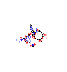 CO[C@H]1/C=C/C[C@@]2(C)Oc3c(C)c(O)c4c(=O)c(c5sc6cc(N7CCN(CC(C)C)CC7)cc(OCc7ccc(NC(=O)[C@H](CCCNC(N)=O)NC(=O)[C@@H](NC(=O)CCCCCN8C(=O)C=CC8=O)C(C)C)cc7)c6nc-5c4c3C2=O)NC(=O)/C(C)=C\C=C\[C@H](C)[C@H](O)[C@@H](C)[C@@H](O)[C@@H](C)[C@H](OC(C)=O)[C@@H]1C